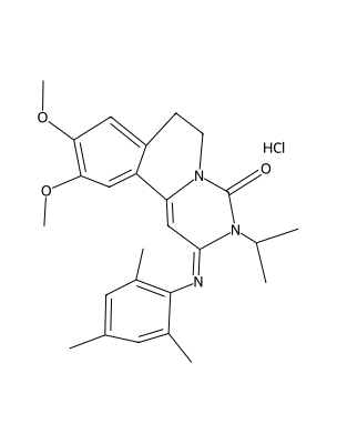 COc1cc2c(cc1OC)-c1cc(=Nc3c(C)cc(C)cc3C)n(C(C)C)c(=O)n1CC2.Cl